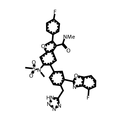 CNC(=O)c1c(-c2ccc(F)cc2)oc2cc(N(C)S(C)(=O)=O)c(-c3ccc(Cc4nnn[nH]4)c(-c4nc5c(F)cccc5o4)c3)cc12